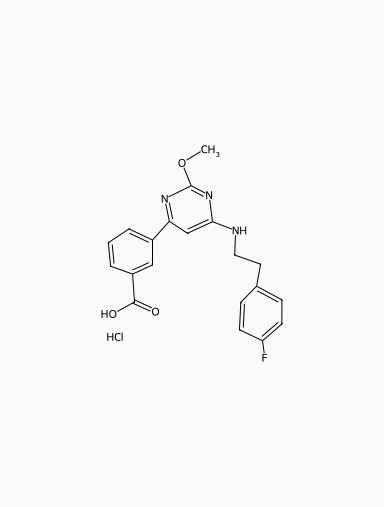 COc1nc(NCCc2ccc(F)cc2)cc(-c2cccc(C(=O)O)c2)n1.Cl